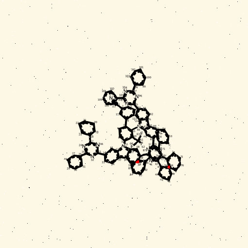 N#Cc1cccc(-c2ccc(-n3c4cc(-c5nc(-c6ccccc6)nc(-c6ccccc6)n5)ccc4c4ccc(-c5nc(-c6ccccc6)nc(-c6ccccc6)n5)cc43)c(C(F)(F)F)c2-n2c3cc(-c4nc(-c5ccccc5)nc(-c5ccccc5)n4)ccc3c3ccc(-c4nc(-c5ccccc5)nc(-c5ccccc5)n4)cc32)c1